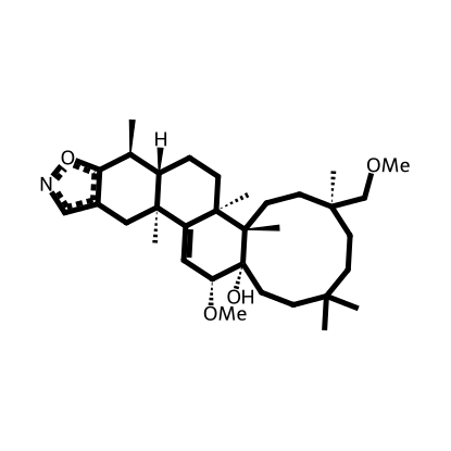 COC[C@@]1(C)CCC(C)(C)CC[C@@]2(O)[C@H](OC)C=C3[C@@]4(C)Cc5cnoc5[C@@H](C)[C@@H]4CC[C@@]3(C)[C@]2(C)CC1